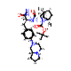 CC(C)(C)OC(=O)N1[C@@H]2CC[C@@H](C2)[C@H]1C(=O)N[C@@H](Cc1ccc(N2CCN3CCCC3C2)cc1)C(N)=O